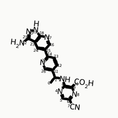 CC(Nc1ncc(C#N)nc1C(=O)O)c1ccc(-c2cnc3[nH]nc(N)c3c2)nc1